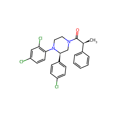 C[C@H](C(=O)N1CCN(c2ccc(Cl)cc2Cl)[C@H](c2ccc(Cl)cc2)C1)c1ccccc1